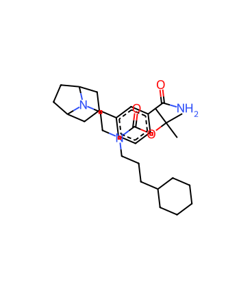 CC(C)(C)OC(=O)N(CCCC1CCCCC1)CCN1C2CCC1CC(c1cccc(C(N)=O)c1)C2